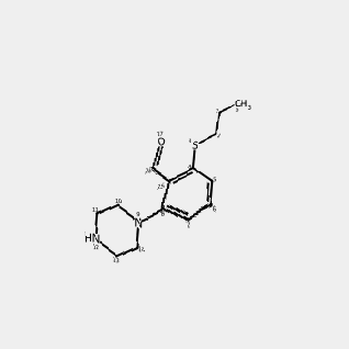 CCCSc1cccc(N2CCNCC2)c1C=O